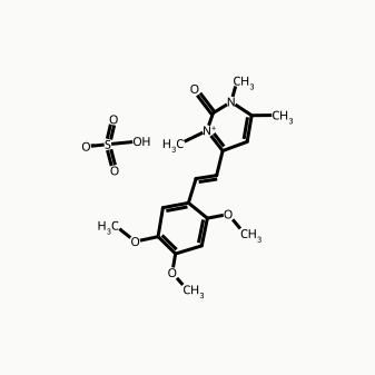 COc1cc(OC)c(OC)cc1C=Cc1cc(C)n(C)c(=O)[n+]1C.O=S(=O)([O-])O